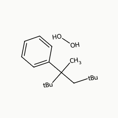 CC(C)(C)CC(C)(c1ccccc1)C(C)(C)C.OO